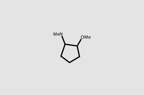 [CH2]NC1CCCC1OC